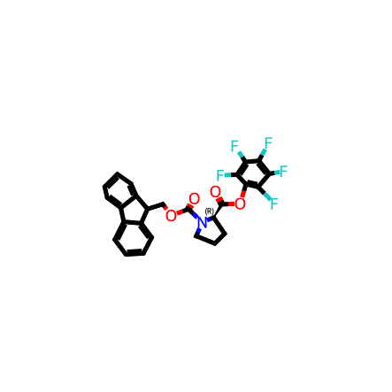 O=C(Oc1c(F)c(F)c(F)c(F)c1F)[C@H]1CCCN1C(=O)OCC1c2ccccc2-c2ccccc21